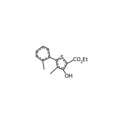 CCOC(=O)c1sc(-c2ccccc2C)c(C)c1O